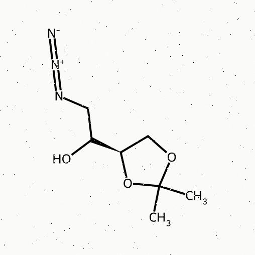 CC1(C)OC[C@H](C(O)CN=[N+]=[N-])O1